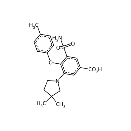 Cc1ccc(Oc2c(N3CCC(C)(C)C3)cc(C(=O)O)cc2S(N)(=O)=O)cc1